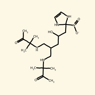 CC(=O)C(C)(C)NCC(CNC(C)(C)C(C)=O)CC(O)CC1([N+](=O)[O-])NC=CN1